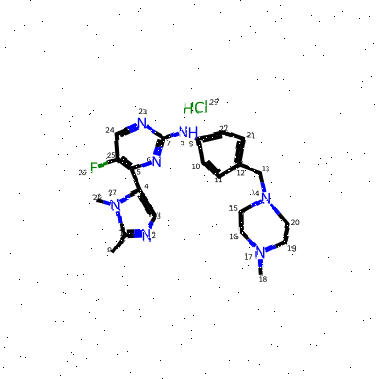 Cc1ncc(-c2nc(Nc3ccc(CN4CCN(C)CC4)cc3)ncc2F)n1C.Cl